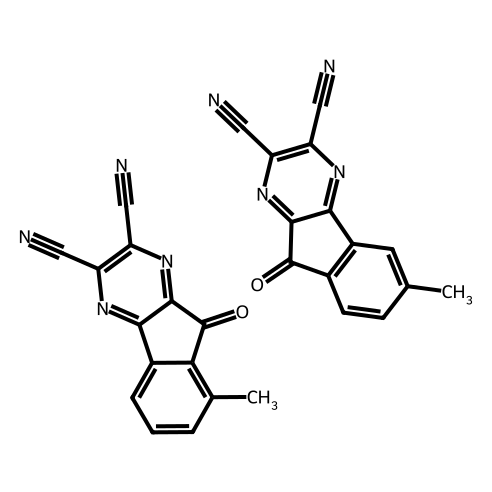 Cc1ccc2c(c1)-c1nc(C#N)c(C#N)nc1C2=O.Cc1cccc2c1C(=O)c1nc(C#N)c(C#N)nc1-2